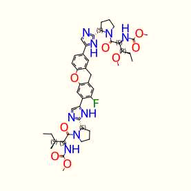 CC[C@H](C)[C@H](NC(=O)OC)C(=O)N1CCC[C@H]1c1ncc(-c2cc3c(cc2F)Cc2cc(-c4cnc([C@@H]5CCCN5C(=O)[C@@H](NC(=O)OC)[C@@H](CC)OC)[nH]4)ccc2O3)[nH]1